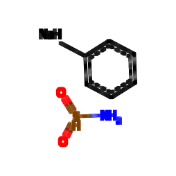 Cc1ccccc1.N[SH](=O)=O.[NaH]